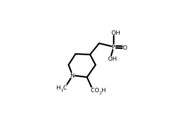 CN1CCC(CP(=O)(O)O)CC1C(=O)O